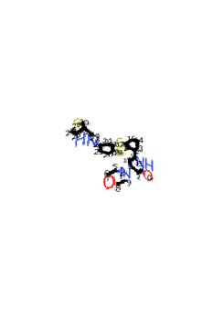 O=c1cc(N2CCOCC2)cc(-c2cccc3c2Sc2ccc(NCc4ccsc4)cc2S3)[nH]1